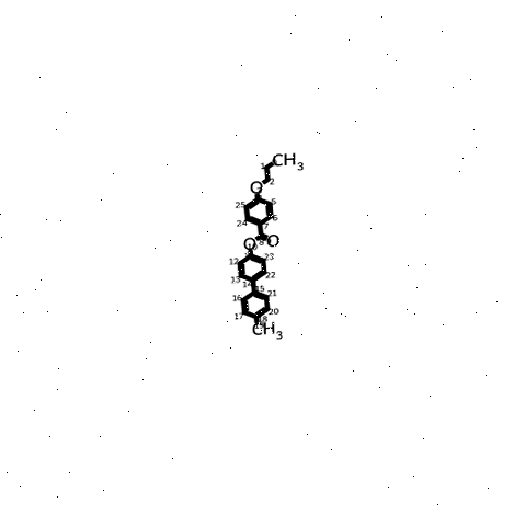 CCCOc1ccc(C(=O)Oc2ccc(-c3ccc(C)cc3)cc2)cc1